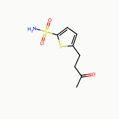 CC(=O)CCc1ccc(S(N)(=O)=O)s1